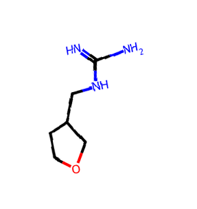 N=C(N)NCC1CCOC1